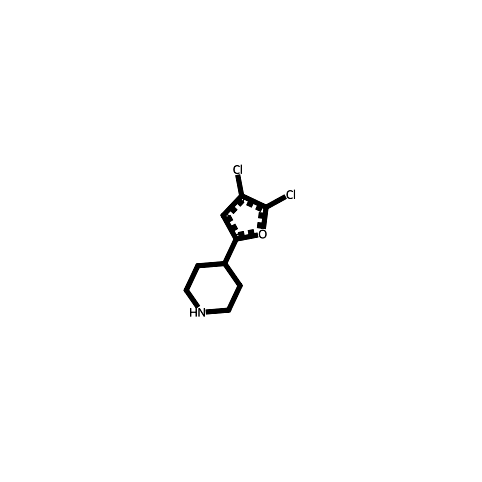 Clc1cc(C2CCNCC2)oc1Cl